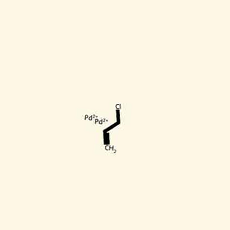 C=CCCl.[Pd+2].[Pd+2]